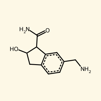 NCc1ccc2c(c1)C(C(N)=O)C(O)C2